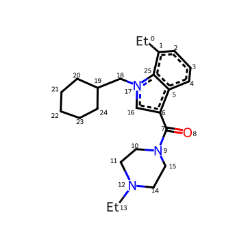 CCc1cccc2c(C(=O)N3CCN(CC)CC3)cn(CC3CCCCC3)c12